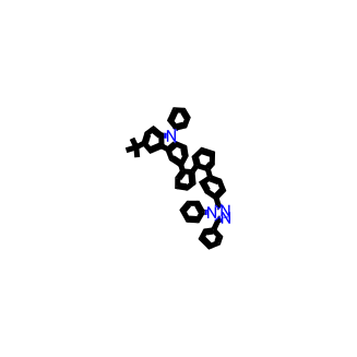 CC(C)(C)c1ccc2c(c1)c1cc(-c3ccccc3-c3ccccc3-c3ccc(-c4nnc(-c5ccccc5)n4-c4ccccc4)cc3)ccc1n2-c1ccccc1